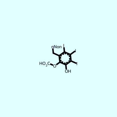 CCCCCCCCCCc1c(I)c(I)c(I)c(O)c1OC(=O)O